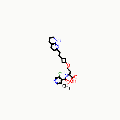 Cc1cncc(Cl)c1C(=O)NC(CCOC1CC(CCc2ccc3c(n2)NCCC3)C1)C(=O)O